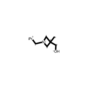 CC(C)CN1CC(C)(CO)C1